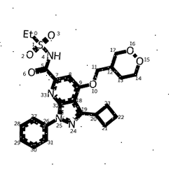 CCS(=O)(=O)NC(=O)c1cc(OCC2CCOOC2)c2c(C3CCC3)nn(-c3ccccc3)c2n1